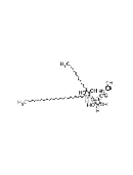 CCCCCCCCCCCCCCCCCCCCCCCCCCN[C@@H](CO[C@@H]1O[C@H](COC(=O)Nc2cccc(C)c2)[C@H](O)[C@H](O)[C@H]1O)[C@H](O)[C@H](O)CCCCCCCCCCCCCC